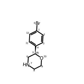 Brc1ccc([C@@H]2CNCCO2)cc1